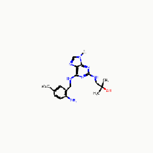 CCn1cnc2c(NCc3cc(OC)ccc3N)nc(NCC(C)(C)O)nc21